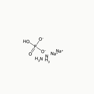 N.N.O=P([O-])([O-])O.[Na+].[Na+]